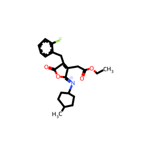 CCOC(=O)CC1=C(Cc2ccccc2F)C(=O)O/C1=N\C1CCC(C)CC1